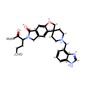 CNC(=O)C(CCC=O)N1Cc2cc3c(cc2C1=O)OCC31CCN(Cc2cccc3[nH]cnc23)CC1